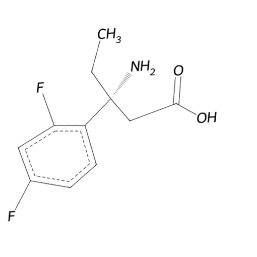 CC[C@@](N)(CC(=O)O)c1ccc(F)cc1F